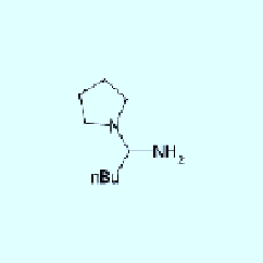 CCCCC(N)N1CCCC1